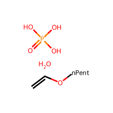 C=COCCCCC.O.O=P(O)(O)O